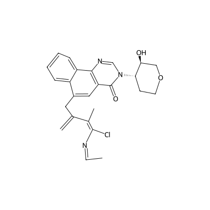 C=C(Cc1cc2c(=O)n([C@H]3CCOC[C@@H]3O)cnc2c2ccccc12)/C(C)=C(Cl)\N=C/C